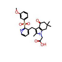 COc1cccc(S(=O)(=O)c2ncccc2Cc2c3c(n(CC(=O)O)c2C)CC(C)(C)CC3=O)c1